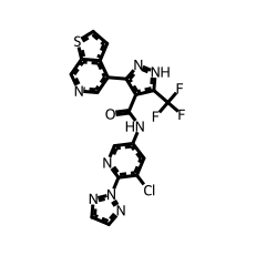 O=C(Nc1cnc(-n2nccn2)c(Cl)c1)c1c(-c2cncc3sccc23)n[nH]c1C(F)(F)F